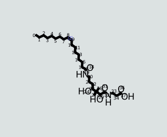 CCCCCCCC/C=C\CCCCCCCC(=O)NCCCC(O)C(C)(C)C(O)C(=O)NCCC(=O)O